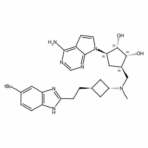 CN(C[C@H]1C[C@@H](n2ccc3c(N)ncnc32)[C@H](O)[C@@H]1O)[C@H]1C[C@H](CCc2nc3cc(C(C)(C)C)ccc3[nH]2)C1